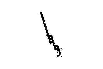 CCCCCCCCCCCCCCCOc1ccc2cc(CCc3ccc(C(=O)OC[C@H](C)CC)cc3)ccc2c1